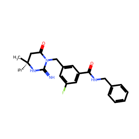 CC(C)[C@]1(C)CC(=O)N(Cc2cc(F)cc(C(=O)NCc3ccccc3)c2)C(=N)N1